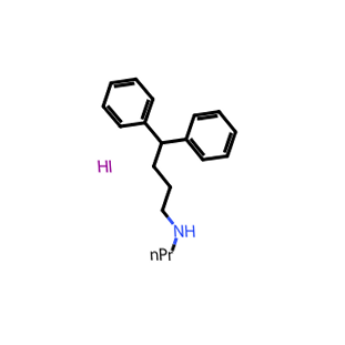 CCCNCCCC(c1ccccc1)c1ccccc1.I